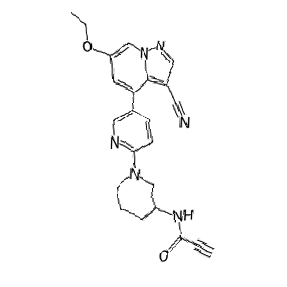 C#CC(=O)NC1CCCN(c2ccc(-c3cc(OCC)cn4ncc(C#N)c34)cn2)C1